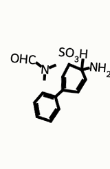 CN(C)C=O.NC1(S(=O)(=O)O)C=CC(c2ccccc2)=CC1